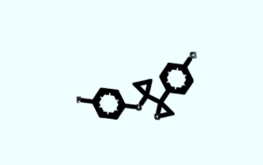 Fc1ccc(OC2(C3(c4ccc(Cl)cc4)CO3)CC2)cc1